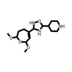 COC1C=C(C2NOC(C3CCNCC3)N2)CCC(OC)O1